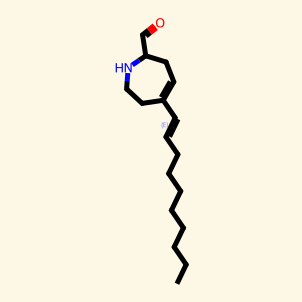 CCCCCCCC/C=C/C1=CCC(C=O)NCC1